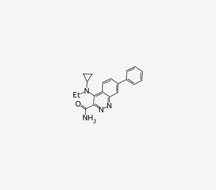 CCN(c1c(C(N)=O)nnc2cc(-c3ccccc3)ccc12)C1CC1